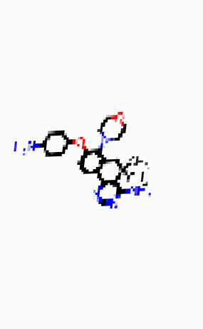 CC1(C)Cc2c(ccc(OC3CCC(N)CC3)c2N2CCOCC2)-c2ncnc(N)c21